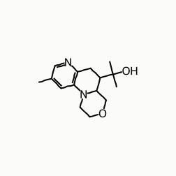 Cc1cnc2c(c1)N1CCOCC1C(C(C)(C)O)C2